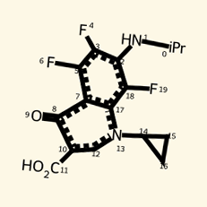 CC(C)Nc1c(F)c(F)c2c(=O)c(C(=O)O)cn(C3CC3)c2c1F